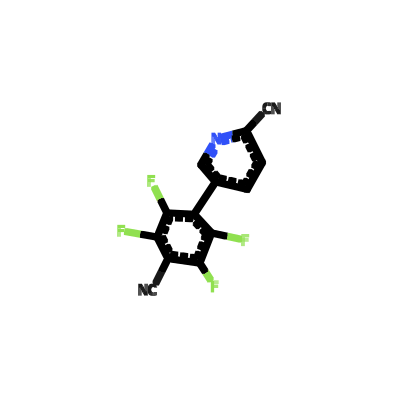 N#Cc1ccc(-c2c(F)c(F)c(C#N)c(F)c2F)cn1